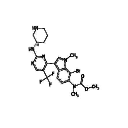 COC(=O)N(C)c1ccc2c(-c3nc(N[C@H]4CCCNC4)ncc3C(F)(F)F)cn(C)c2c1Br